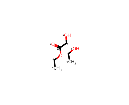 CCO.CCOC(=O)CO